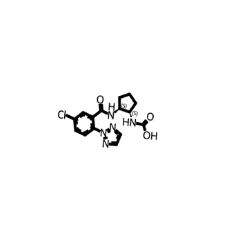 O=C(O)N[C@H]1CCC[C@@H]1NC(=O)c1cc(Cl)ccc1-n1nccn1